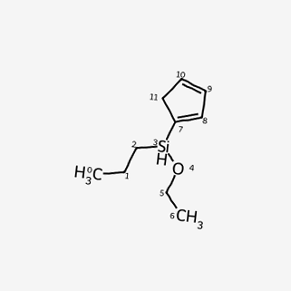 CCC[SiH](OCC)C1=CC=CC1